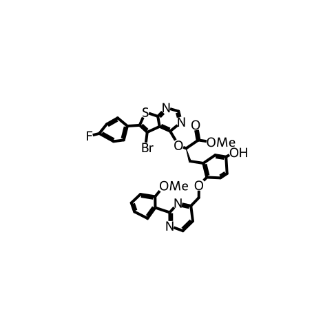 COC(=O)[C@@H](Cc1cc(O)ccc1OCc1ccnc(-c2ccccc2OC)n1)Oc1ncnc2sc(-c3ccc(F)cc3)c(Br)c12